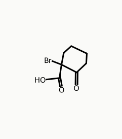 O=C(O)C1(Br)CCCCC1=O